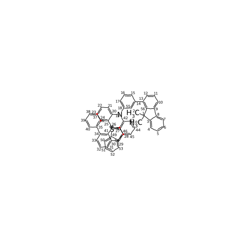 CC1(C)c2ccccc2-c2cccc(-c3cccc(N(c4ccccc4-c4cccc5cccc(-c6ccccc6)c45)c4cccc5c4sc4ccccc45)c3)c21